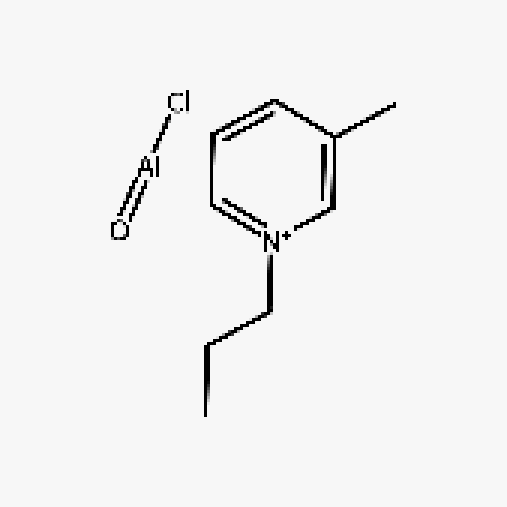 CCC[n+]1cccc(C)c1.[O]=[Al][Cl]